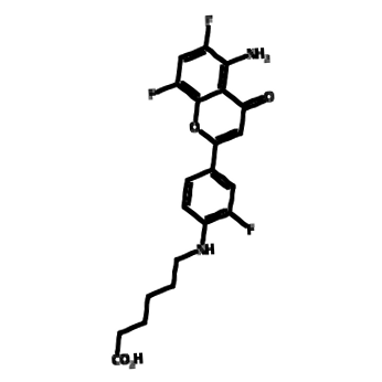 Nc1c(F)cc(F)c2oc(-c3ccc(NCCCCCC(=O)O)c(F)c3)cc(=O)c12